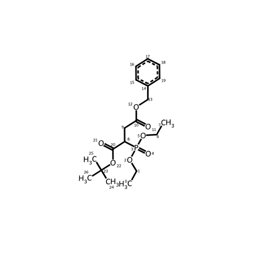 CCOP(=O)(OCC)C(CC(=O)OCc1ccccc1)C(=O)OC(C)(C)C